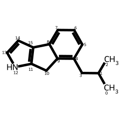 CC(C)Cc1cccc2c1Cc1[nH]ccc1-2